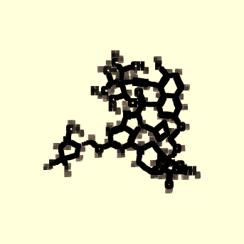 COCOc1cc(C(=O)c2nc3nc(OC[C@@H]4CC(F)(F)CN4C)nc(N4CC5CC(OC)C(C4)N5C(=O)O)c3n2C2CCC2)c2c(C#C[Si](C(C)C)(C(C)C)C(C)C)c(F)ccc2c1